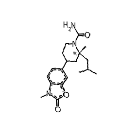 CC(C)C[C@]1(C)CC(c2ccc3c(c2)oc(=O)n3C)CCN1C(N)=O